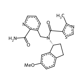 COc1ccc2c(c1)[C@H](N(Cc1cccnc1C(N)=O)C(=O)c1scnc1C)CC2